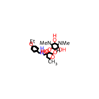 CCOc1ccc(CNC[C@]2(O)C[C@@H](C)OC3O[C@H]4C(O[C@]32O)[C@@H](NC)[C@@H](O)[C@@H](NC)[C@@H]4O)cc1